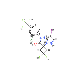 O=C(Nc1ccc(C(F)(F)F)cc1Cl)C1(n2cc(I)cn2)CC(F)(F)C1